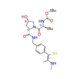 C/C(NI)=C(/S)c1ccc(CNC(=O)[C@@H]2C[C@@H](O)CN2C(=O)[C@@H](NC(=O)OC(C)(C)C)C(C)(C)C)cc1